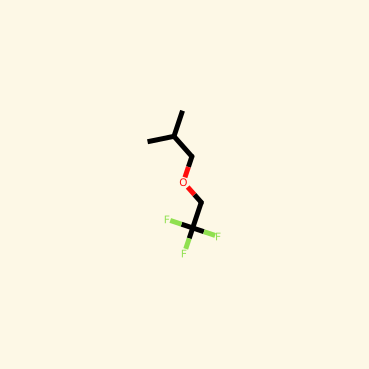 CC(C)COCC(F)(F)F